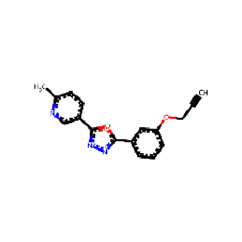 C#CCOc1cccc(-c2nnc(-c3ccc(C)nc3)o2)c1